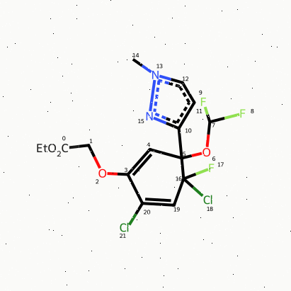 CCOC(=O)COC1=CC(OC(F)F)(c2ccn(C)n2)C(F)(Cl)C=C1Cl